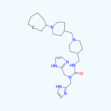 O=C(NCC1CCN(CC2CCN(C3CCCCCC3)CC2)CC1)N(Cc1ncc[nH]1)Cc1ncc[nH]1